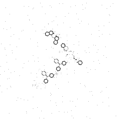 COCC(=O)O[C@]1(CCN(C)CCCc2nc3ccccc3[nH]2)CCc2cc(F)ccc2[C@@H]1C(C)C.Cl.Cl.N=C1C=CC(=C(c2ccc(N)cc2)c2ccc(N)cc2)C=C1.N=C1C=CC(=C(c2ccc(N)cc2)c2ccc(N)cc2)C=C1.O.O.O=C(O)c1cc2ccccc2c(Cc2c(O)c(C(=O)O)cc3ccccc23)c1O